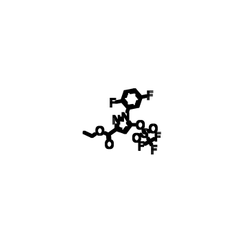 CCOC(=O)c1cc(OS(=O)(=O)C(F)(F)F)n(-c2cc(F)ccc2F)n1